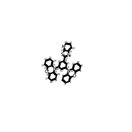 c1ccc2c(c1)Oc1ccccc1N2c1cc(-c2nc3cccnc3s2)cc(N2c3ccccc3Oc3ccccc32)c1